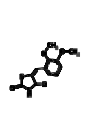 COc1cccc(/C=C2/SC(=O)NC2=O)c1OC